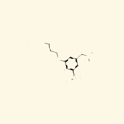 CCOC(=O)CCCOc1cc(C[S+](C)[O-])cc(NO)c1